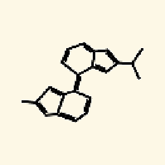 CC1=Cc2cccc(=c3cccc4c3=CC(C(C)C)=C4)c2=C1